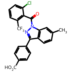 Cc1ccc2c(-c3ccc(C(=O)O)cc3)nn(C(=O)c3c(Cl)cccc3C(F)(F)F)c2c1